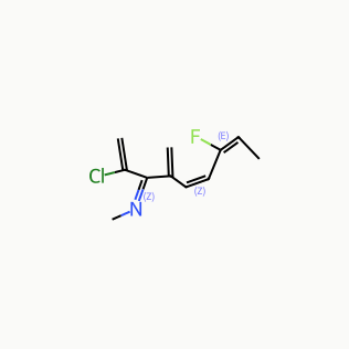 C=C(Cl)/C(=N\C)C(=C)/C=C\C(F)=C/C